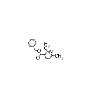 Cc1ccc(C(=O)OCc2ccccc2)c(C)n1